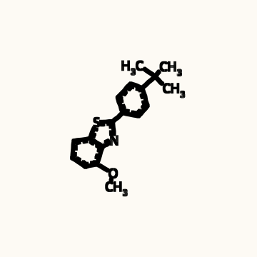 COc1cccc2sc(-c3ccc(C(C)(C)C)cc3)nc12